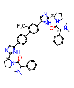 CN(C)C(C(=O)N1CCC[C@H]1c1ncc(-c2ccc(-c3ccc(-c4cnc([C@@H]5CCCN5C(=O)[C@@H](c5ccccc5)N(C)C)[nH]4)cc3C(F)(F)F)cc2)[nH]1)c1ccccc1